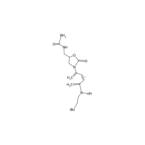 BC(=O)NCC1CN(C(=C)/C=C\C(=C)N(CCC)CCC(C)CC)C(=O)O1